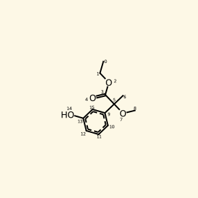 CCOC(=O)C(C)(OC)c1cccc(O)c1